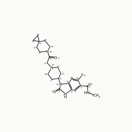 CNC(=O)c1cc2[nH]c(=O)n(C3CCN(CC(=O)N4CCC5(CC4)CC5)CC3)c2cc1F